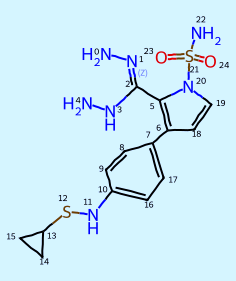 N/N=C(\NN)c1c(-c2ccc(NSC3CC3)cc2)ccn1S(N)(=O)=O